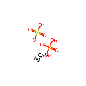 O=P([O-])(O)O.O=S(=O)([O-])[O-].[Ag+].[Ca+2]